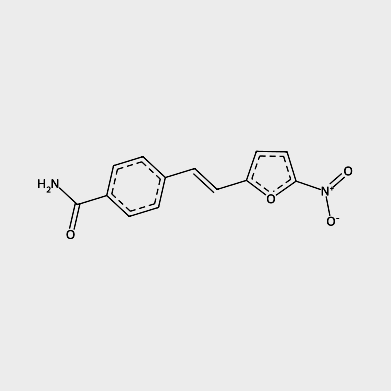 NC(=O)c1ccc(/C=C/c2ccc([N+](=O)[O-])o2)cc1